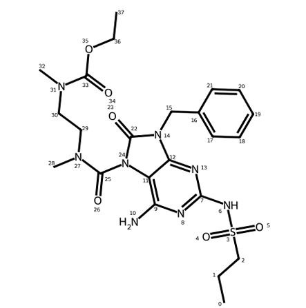 CCCS(=O)(=O)Nc1nc(N)c2c(n1)n(Cc1ccccc1)c(=O)n2C(=O)N(C)CCN(C)C(=O)OCC